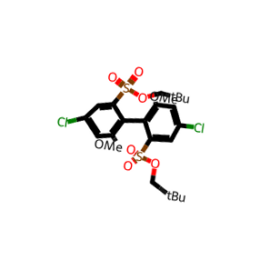 COc1cc(Cl)cc(S(=O)(=O)OCC(C)(C)C)c1-c1c(OC)cc(Cl)cc1S(=O)(=O)OCC(C)(C)C